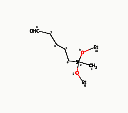 CCO[Si](C)(CCCCC=O)OCC